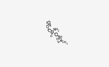 C[C@@H](OC(=O)Nc1ccc(-c2c(N)c3cc(Oc4ncccn4)ccc3n2C2CCC2)cc1)C1CC1